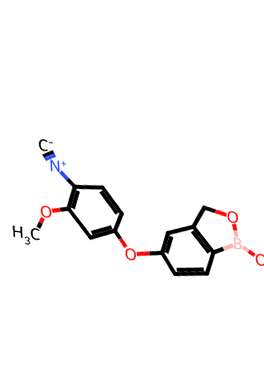 [C-]#[N+]c1ccc(Oc2ccc3c(c2)COB3O)cc1OC